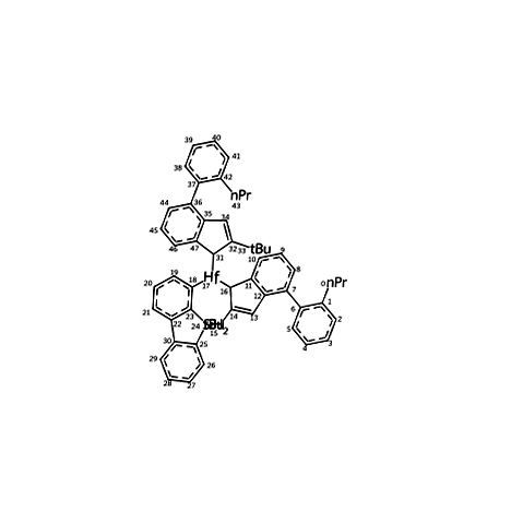 CCCc1ccccc1-c1cccc2c1C=C(C(C)(C)C)[CH]2[Hf]([c]1cccc2c1[SiH2]c1ccccc1-2)[CH]1C(C(C)(C)C)=Cc2c(-c3ccccc3CCC)cccc21